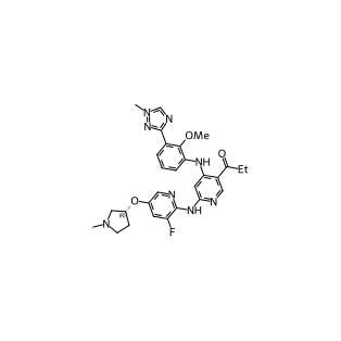 CCC(=O)c1cnc(Nc2ncc(O[C@@H]3CCN(C)C3)cc2F)cc1Nc1cccc(-c2ncn(C)n2)c1OC